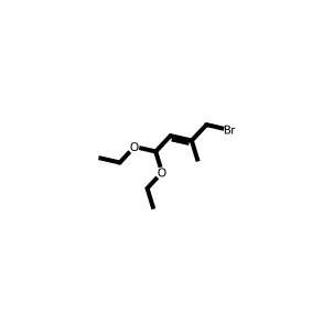 CCOC(/C=C(\C)CBr)OCC